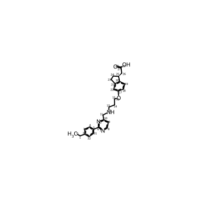 CCc1ccc(-c2nccc(CNCCCOc3ccc4c(c3)CC[C@H]4CC(=O)O)n2)cc1